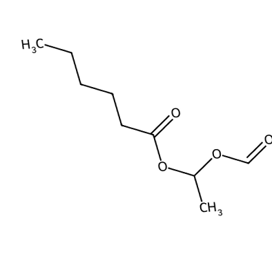 CCCCCC(=O)OC(C)OC=O